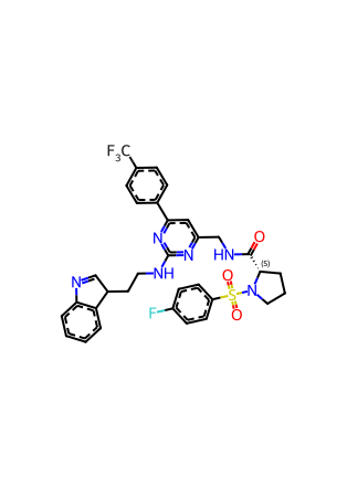 O=C(NCc1cc(-c2ccc(C(F)(F)F)cc2)nc(NCCC2C=Nc3ccccc32)n1)[C@@H]1CCCN1S(=O)(=O)c1ccc(F)cc1